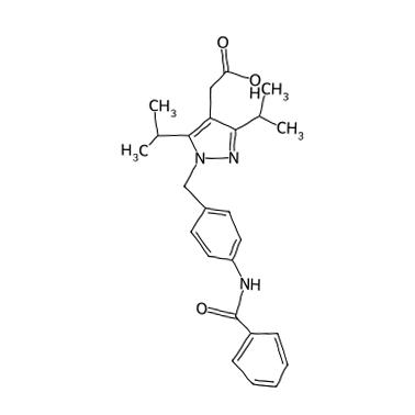 CC(C)c1nn(Cc2ccc(NC(=O)c3ccccc3)cc2)c(C(C)C)c1CC(=O)O